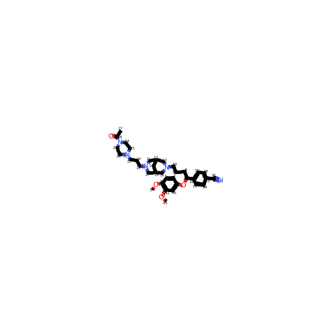 COc1ccc(OC(CCCN2CC3CC(C2)CN(CCCN2CCN(C(C)=O)CC2)C3)c2ccc(C#N)cc2)cc1OC